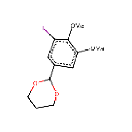 COc1cc(C2OCCCO2)cc(I)c1OC